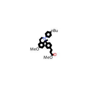 CCCCc1ccc(N2CCc3cc(OC)ccc3C2(C)c2ccc(C=CC(=O)OC)cc2)cc1